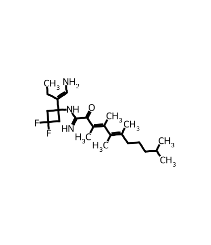 CC/C(=C\N)C1(NC(=N)C(=O)/C(C)=C(C)/C(C)=C(\C)CCCC(C)C)CC(F)(F)C1